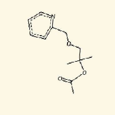 CC(=O)OC(C)(C)COCc1ccccn1